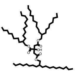 CCCCCCCCCCC(CCCCCCCC)COC(=O)CC(O)(CC(=O)OCC(CCCCCCCC)CCCCCCCCCC)C(=O)OCC(CCCCCCCC)CCCCCCCCCC